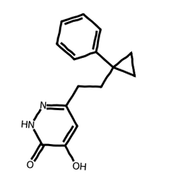 O=c1[nH]nc(CCC2(c3ccccc3)CC2)cc1O